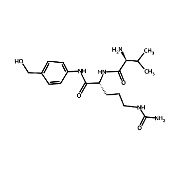 CC(C)[C@H](N)C(=O)N[C@H](CCCNC(N)=O)C(=O)Nc1ccc(CO)cc1